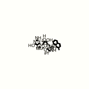 Cc1ccc2ccccc2c1OP(=O)(N[C@H](C(=O)OCC(C)(C)C)C(C)C)OC[C@H]1OC(n2cnc3c(O)nc(N)nc32)[C@](C)(O)[C@@H]1O